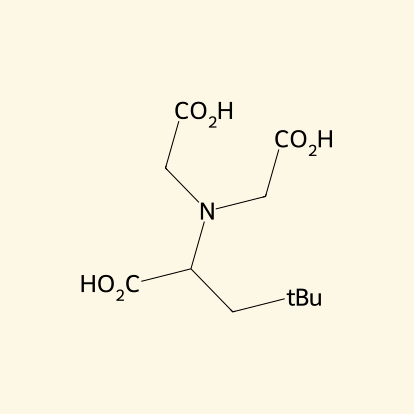 CC(C)(C)CC(C(=O)O)N(CC(=O)O)CC(=O)O